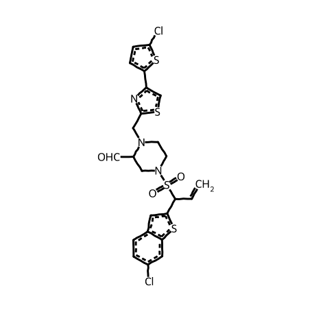 C=CC(c1cc2ccc(Cl)cc2s1)S(=O)(=O)N1CCN(Cc2nc(-c3ccc(Cl)s3)cs2)C(C=O)C1